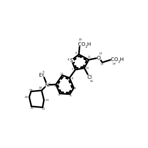 CCN(c1cccc(-c2sc(C(=O)O)c(OCC(=O)O)c2Cl)c1)C1CCCCC1